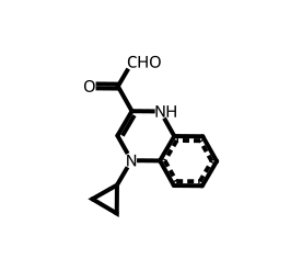 O=CC(=O)C1=CN(C2CC2)c2ccccc2N1